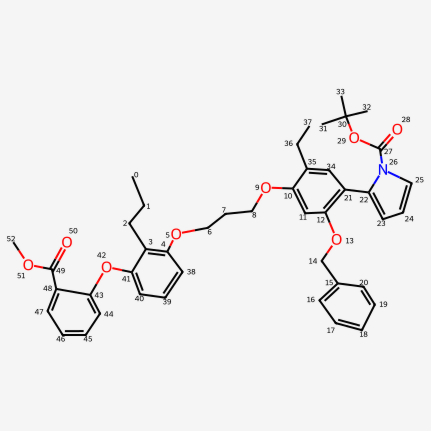 CCCc1c(OCCCOc2cc(OCc3ccccc3)c(-c3cccn3C(=O)OC(C)(C)C)cc2CC)cccc1Oc1ccccc1C(=O)OC